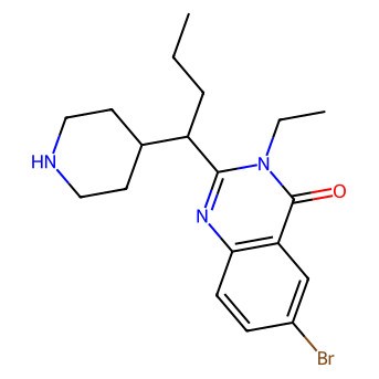 CCCC(c1nc2ccc(Br)cc2c(=O)n1CC)C1CCNCC1